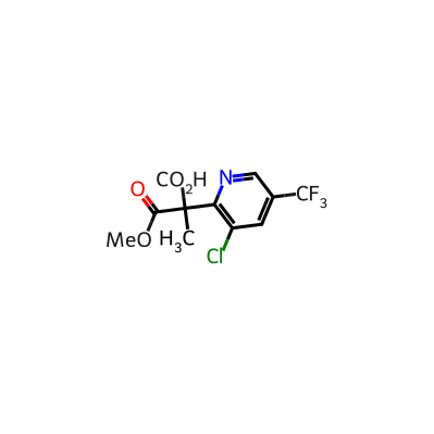 COC(=O)C(C)(C(=O)O)c1ncc(C(F)(F)F)cc1Cl